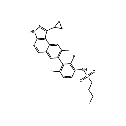 Cc1cc2c(cnc3[nH]nc(C4CC4)c32)cc1-c1c(F)ccc(NS(=O)(=O)CCCF)c1F